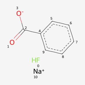 F.O=C([O-])c1ccccc1.[Na+]